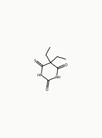 CCC1(CC)C(=O)NC(=O)NC1=S